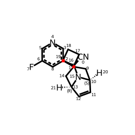 N#C[C@@]1(c2cncc(F)c2)C[C@H]2C=C[C@@H](C1)N2C1CCC1